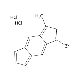 CC1=c2cc3c(cc2[C]([Zr])=C1)=CC=C3.Cl.Cl